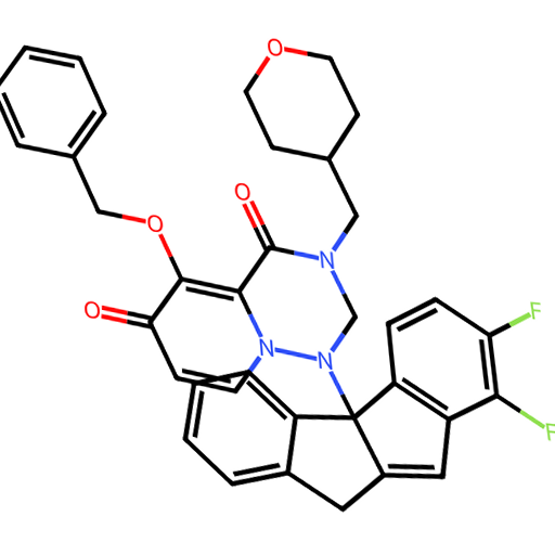 O=C1c2c(OCc3ccccc3)c(=O)ccn2N(C23C(=Cc4c2ccc(F)c4F)Cc2ccccc23)CN1CC1CCOCC1